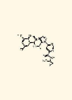 C[C@H](Nc1ncnc2c(C(F)(F)F)cc(Cl)cc12)c1ncnn1-c1cc(C(=O)NC2(C#N)CC2)ncn1